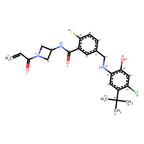 C=CC(=O)N1CC(NC(=O)c2cc(CNc3cc(C(C)(C)C)c(Cl)cc3O)ccc2F)C1